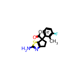 COC(=O)C1(c2cccc(F)c2C)CCc2nc(N)sc21